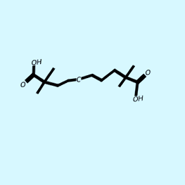 CC(C)(CCCCCCC(C)(C)C(=O)O)C(=O)O